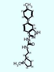 Cc1ccc(-c2ccc3c(NC(=O)NCCC4CCCN4C)n[nH]c3c2)cc1